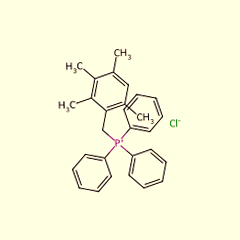 Cc1cc(C)c(C[P+](c2ccccc2)(c2ccccc2)c2ccccc2)c(C)c1C.[Cl-]